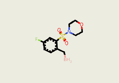 BCc1ccc(F)cc1S(=O)(=O)N1CCOCC1